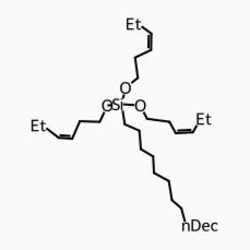 CC/C=C\CCO[Si](CCCCCCCCCCCCCCCCCC)(OCC/C=C\CC)OCC/C=C\CC